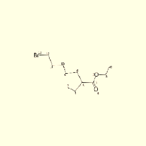 CCOC(=O)C(CC)CCCCCBr